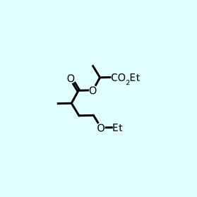 CCOCCC(C)C(=O)OC(C)C(=O)OCC